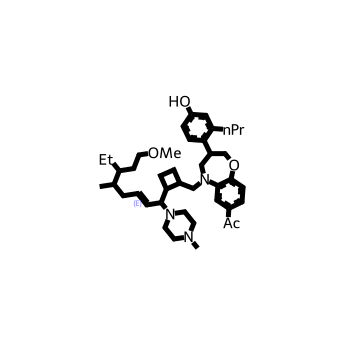 CCCc1cc(O)ccc1C1COc2ccc(C(C)=O)cc2N(CC2CCC2C(/C=C/CC(C)C(CC)CCOC)N2CCN(C)CC2)C1